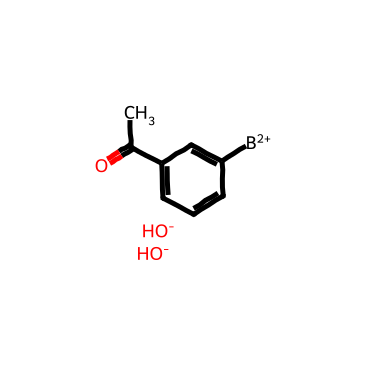 [B+2]c1cccc(C(C)=O)c1.[OH-].[OH-]